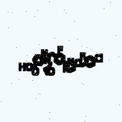 O=C(O)c1ccc2nc(Cc3ccc(-c4nccc(OCc5ccc(Cl)cc5F)n4)cc3F)n(CC3CCO3)c2c1